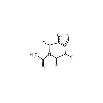 CC(=O)N1C(F)c2occc2C(F)C1F